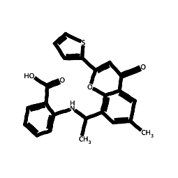 Cc1cc(C(C)Nc2ccccc2C(=O)O)c2oc(-c3cccs3)cc(=O)c2c1